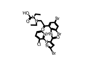 CCN(CC(=O)c1cc(Br)cc(Br)c1NC(=O)c1cc(Br)nn1-c1ncccc1Cl)N(CC)C(=O)O